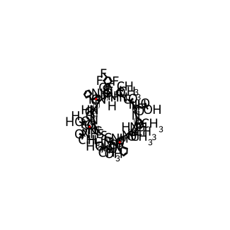 CC(=O)N[C@@H](CC(=O)O)C(=O)N[C@H]1CSSC[C@@H](C(=O)N[C@H](C(=O)O)[C@@H](C)O)NC(=O)[C@H](Cc2c[nH]c3ccccc23)NC(=O)[C@H](C(C)C)NC(=O)[C@H](CC(C)C)NC(=O)[C@H](CCC(=O)O)NC(=O)CNC(=O)[C@H](CC(C)C)NC(=O)[C@H](CC(=O)Oc2c(F)c(F)cc(F)c2F)NC(=O)[C@H](Cc2c[nH]c3ccccc23)NC(=O)[C@H](C)NC1=O